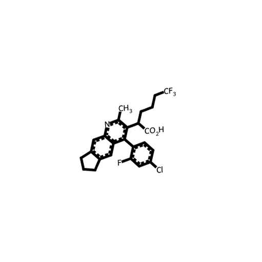 Cc1nc2cc3c(cc2c(-c2ccc(Cl)cc2F)c1C(CCCC(F)(F)F)C(=O)O)CCC3